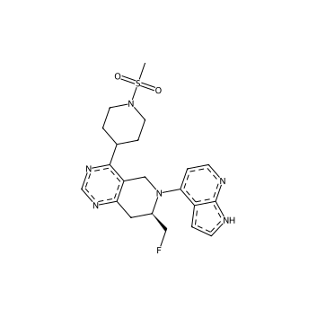 CS(=O)(=O)N1CCC(c2ncnc3c2CN(c2ccnc4[nH]ccc24)[C@@H](CF)C3)CC1